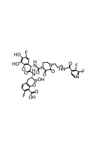 O=C(NCCCN1CCN(C(=O)N[C@H](C(=O)N[C@H]2Cc3ccc(F)c(C(=O)O)c3OB2O)c2cc(F)c(O)c(O)c2Cl)C(=O)C1=O)c1ccnc(F)c1F